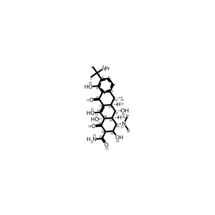 CCCC(C)(C)c1ccc2c(c1O)C(=O)C1=C(O)[C@]3(O)C(=O)C(C(N)=O)C(O)[C@@H](N(C)C)[C@@H]3[C@@H](O)[C@@H]1[C@H]2C